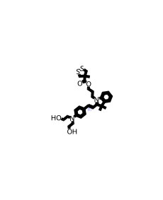 CC1(C(=O)OCCC[N+]2=C(/C=C/c3ccc(N(CCO)CCO)cc3)C(C)(C)c3ccccc32)CSSC1